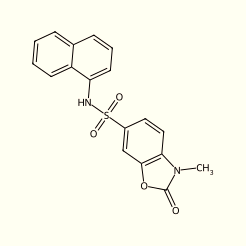 Cn1c(=O)oc2cc(S(=O)(=O)Nc3cccc4ccccc34)ccc21